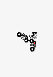 O=C(Nc1cc(-c2ccnc3c2ccn3S(=O)(=O)c2ccccc2)cc2c1cnn2S(=O)(=O)c1ccccc1)c1ccco1